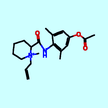 C=CC[N+]1(C)CCCCC1C(=O)Nc1c(C)cc(OC(C)=O)cc1C